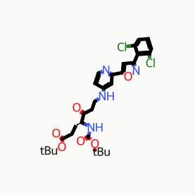 CC(C)(C)OC(=O)CC[C@@H](NC(=O)OC(C)(C)C)C(=O)CCNc1ccnc(-c2cc(-c3c(Cl)cccc3Cl)no2)c1